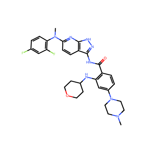 CN1CCN(c2ccc(C(=O)Nc3n[nH]c4nc(N(C)c5ccc(F)cc5F)ccc34)c(NC3CCOCC3)c2)CC1